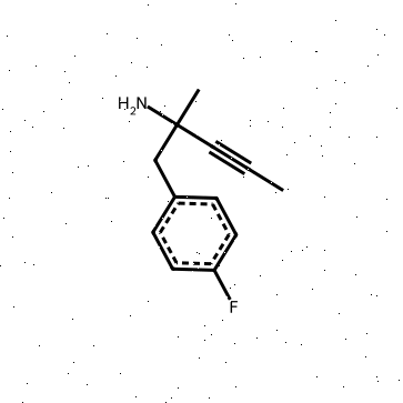 CC#CC(C)(N)Cc1ccc(F)cc1